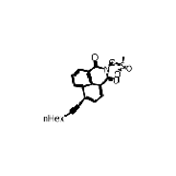 CCCCCCC#Cc1ccc2c3c(cccc13)C(=O)N(OS(C)(=O)=O)C2=O